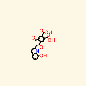 O=Cc1cc(C(=O)O)c(C(=O)O)cc1C(=O)Cc1ccc2cccc(O)c2n1